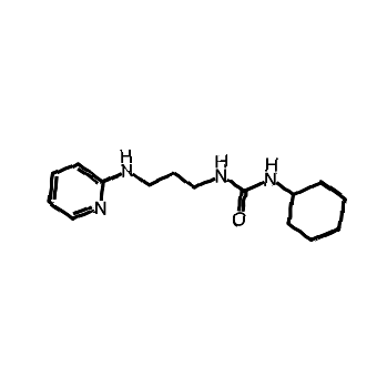 O=C(NCCCNc1ccccn1)NC1CCCCC1